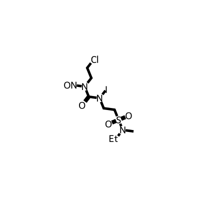 CCN(C)S(=O)(=O)CCN(I)C(=O)N(CCCl)N=O